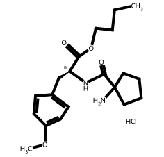 CCCCOC(=O)[C@H](Cc1ccc(OC)cc1)NC(=O)C1(N)CCCC1.Cl